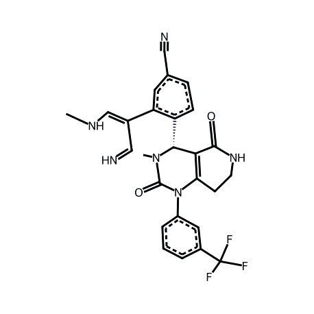 CN/C=C(\C=N)c1cc(C#N)ccc1[C@@H]1C2=C(CCNC2=O)N(c2cccc(C(F)(F)F)c2)C(=O)N1C